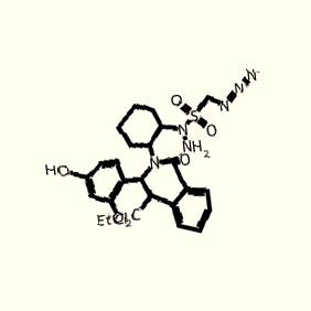 CCOC(=O)C1c2ccccc2C(=O)N(C2CCCCC2N(N)S(=O)(=O)CN=[N+]=[N-])C1c1ccc(O)cc1Cl